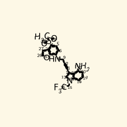 CS(=O)(=O)c1ccc(NCC#Cc2cn(CC(F)(F)F)c3cccc(N)c23)c2occc12